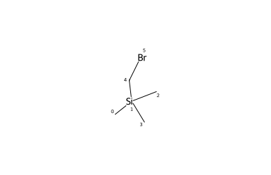 C[Si](C)(C)CBr